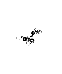 COc1ccc(Br)c(Sc2nc3c(N)nccc3n2CCC2CCN(C(=O)[C@@H](C)O)C2)c1